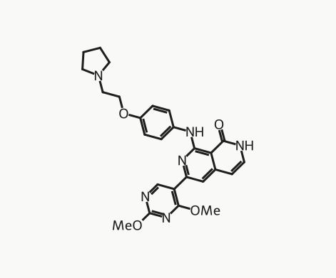 COc1ncc(-c2cc3cc[nH]c(=O)c3c(Nc3ccc(OCCN4CCCC4)cc3)n2)c(OC)n1